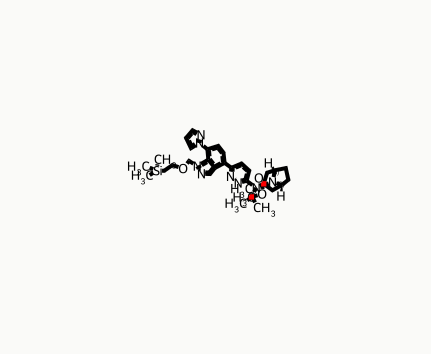 CN(c1ccc(-c2ccc(-n3cccn3)c3c2cnn3COCC[Si](C)(C)C)nn1)C1C[C@H]2CC[C@@H](C1)N2C(=O)OC(C)(C)C